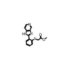 COC(=O)CSc1ccccc1-c1nc2cnccc2[nH]1